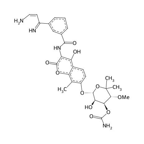 CO[C@@H]1[C@@H](OC(N)=O)[C@@H](O)[C@H](Oc2ccc3c(O)c(NC(=O)c4cccc(C(=N)/C=C\N)c4)c(=O)oc3c2C)OC1(C)C